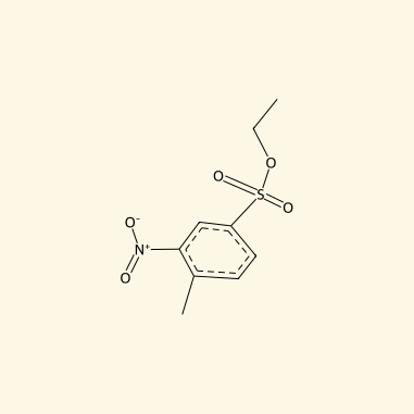 CCOS(=O)(=O)c1ccc(C)c([N+](=O)[O-])c1